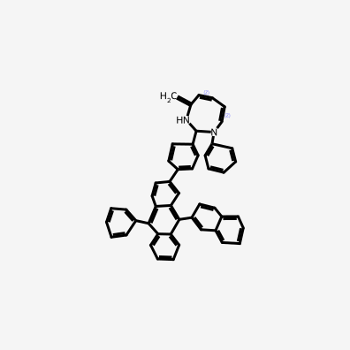 C=C1/C=C\C=C/N(c2ccccc2)C(c2ccc(-c3ccc4c(-c5ccccc5)c5ccccc5c(-c5ccc6ccccc6c5)c4c3)cc2)N1